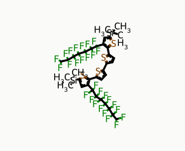 C[Si](C)(C)c1cc(C(F)(F)C(F)(F)C(F)(F)C(F)(F)C(F)(F)C(F)(F)C(F)F)c(-c2ccc(-c3ccc(-c4sc([Si](C)(C)C)cc4C(F)(F)C(F)(F)C(F)(F)C(F)(F)C(F)(F)C(F)(F)C(F)F)s3)s2)s1